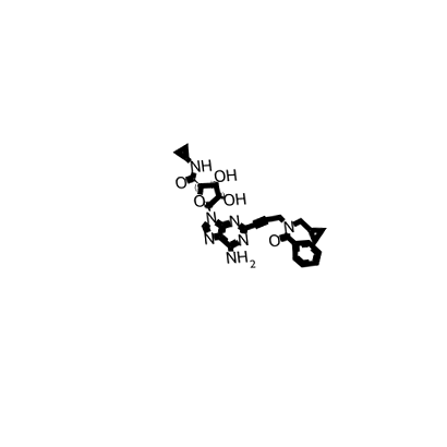 Nc1nc(C#CCN(CC2CC2)C(=O)c2ccccc2)nc2c1ncn2[C@@H]1O[C@H](C(=O)NC2CC2)[C@@H](O)[C@H]1O